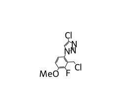 COc1ccc(-n2cc(Cl)nn2)c(CCl)c1F